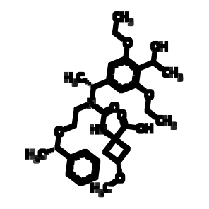 CCOc1cc([C@@H](C)N(CCO[C@@H](C)c2ccccc2)C(=O)N[C@]2(C(=O)O)C[C@H](OC)C2)cc(OCC)c1C(C)O